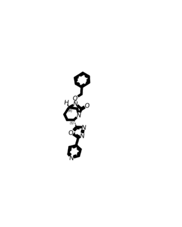 O=C1N2C[C@@H](CC[C@H]2c2nnc(-c3ccncc3)o2)N1OCc1ccccc1